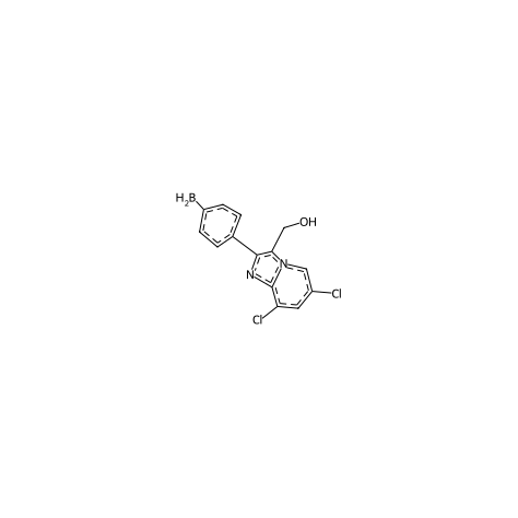 Bc1ccc(-c2nc3c(Cl)cc(Cl)cn3c2CO)cc1